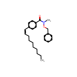 CCCCCCCC/C=C\c1ccc(C(=O)N(C)OCc2ccccc2)cc1